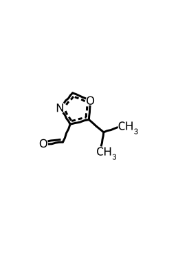 CC(C)c1ocnc1C=O